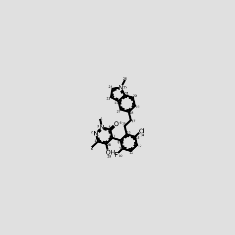 Cc1nn(C)c(=O)c(-c2c(F)ccc(Cl)c2CCc2ccc3c(ccn3C)c2)c1O